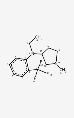 CCN(c1ccccc1C(F)(F)F)C1CCN(C)C1